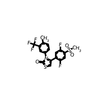 Cc1ccc(-n2c(-c3cc(F)c(S(C)(=O)=O)cc3F)csc2=O)cc1C(F)(F)F